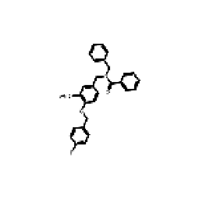 COc1cc(CN(Cc2ccccc2)C(=O)c2ccccc2)ccc1OCc1ccc(F)cc1